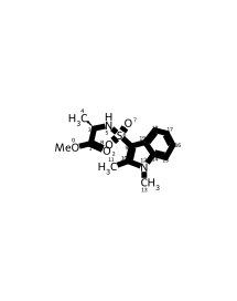 COC(=O)[C@H](C)NS(=O)(=O)c1c(C)n(C)c2ccccc12